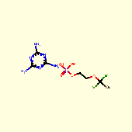 CC(C)(C)C(Br)(Br)OCCOP(=O)(O)O.Nc1nc(N)nc(N)n1